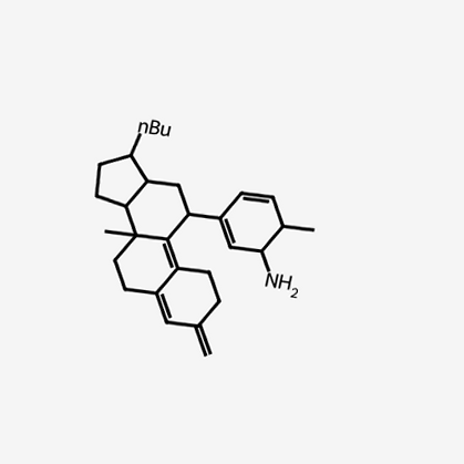 C=C1C=C2CCC3(C)C(=C2CC1)C(C1=CC(N)C(C)C=C1)CC1C(CCCC)CCC13